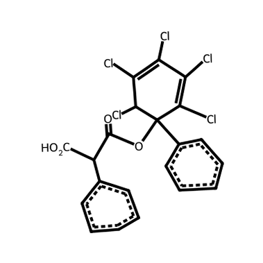 O=C(O)C(C(=O)OC1(c2ccccc2)C(Cl)=C(Cl)C(Cl)=C(Cl)C1Cl)c1ccccc1